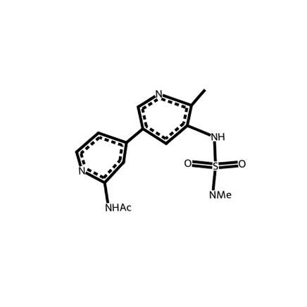 CNS(=O)(=O)Nc1cc(-c2ccnc(NC(C)=O)c2)cnc1C